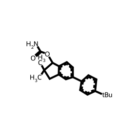 CC(C)(C)c1ccc(-c2ccc3c(c2)CC(C)(C)C3OC(N)=O)cc1